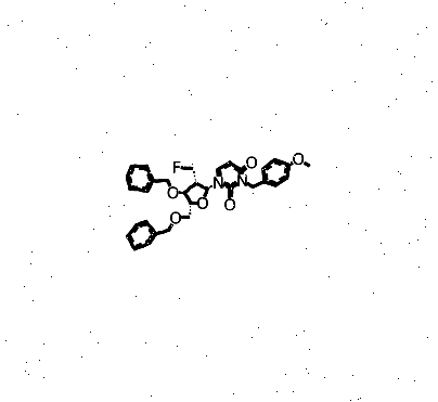 COc1ccc(Cn2c(=O)ccn([C@@H]3O[C@H](COCc4ccccc4)[C@@H](OCc4ccccc4)[C@@H]3CF)c2=O)cc1